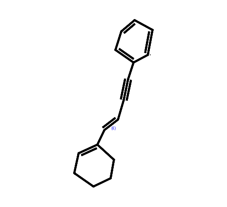 C(#Cc1[c]cccc1)/C=C/C1=CCCCC1